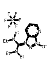 CCN(CC)C(N(CC)CC)=[N+]1N=[N+]([O-])c2ncccc21.F[P-](F)(F)(F)(F)F